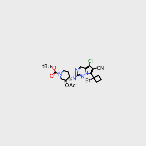 CCC1(c2c(C#N)c(Cl)c3cnc(N[C@H]4CCN(C(=O)OC(C)(C)C)C[C@H]4OC(C)=O)nn23)CCC1